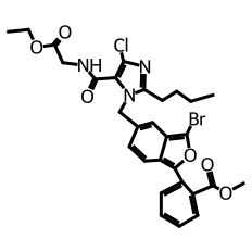 CCCCc1nc(Cl)c(C(=O)NCC(=O)OCC)n1Cc1ccc2c(-c3ccccc3C(=O)OC)oc(Br)c2c1